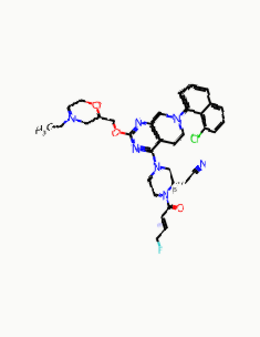 CCN1CCOC(COc2nc3c(c(N4CCN(C(=O)/C=C/CF)[C@@H](CC#N)C4)n2)CCN(c2cccc4cccc(Cl)c24)C3)C1